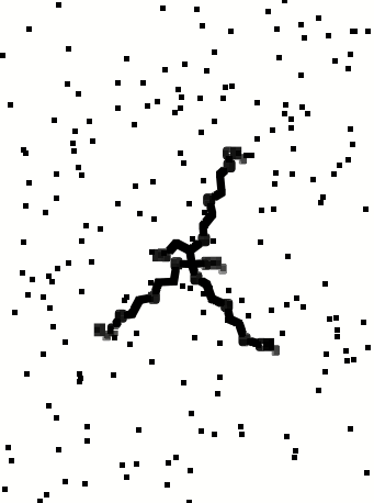 COCCOCCOC(CS)C([SiH3])(OCCOCCOC)OCCOCCOC